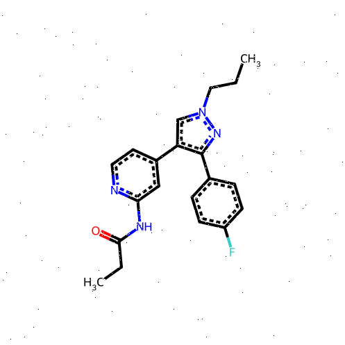 CCCn1cc(-c2ccnc(NC(=O)CC)c2)c(-c2ccc(F)cc2)n1